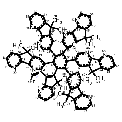 CC/C=N\C1=C(c2c(-c3cnc4c(c3)C(C)(C)c3cccnc3-4)c(-c3cnc4c(c3)C(C)(C)c3cccnc3-4)c(-c3cnc4c(c3)C(C)(C)c3cccnc3-4)c(-c3cnc4c(c3)C(C)(C)c3cccnc3-4)c2-c2cnc3c(c2)C(C)(C)c2cccnc2-3)C(C)(C)c2cccnc21